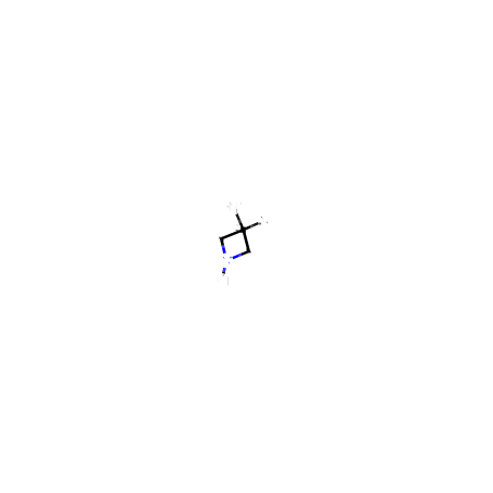 CN1CC(N=O)(N=O)C1